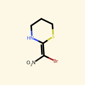 O=[N+]([O-])C(Br)=C1NCCCS1